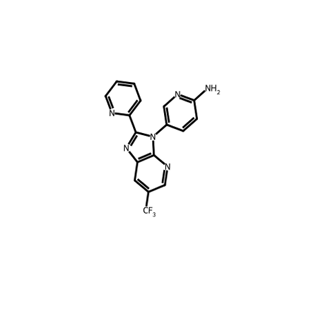 Nc1ccc(-n2c(-c3ccccn3)nc3cc(C(F)(F)F)cnc32)cn1